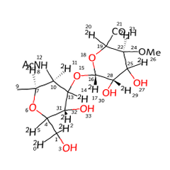 [2H]C([2H])(O)C1([2H])O[C@@]([2H])(C)[C@@]([2H])(NC(C)=O)C([2H])(O[C@]2([2H])OC([2H])(C(=O)O)[C@@]([2H])(OC)C([2H])(O)[C@]2([2H])O)[C@]1([2H])O